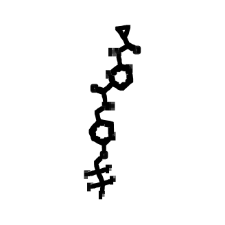 O=C(NCc1ccc(OCC(F)(F)C(F)(F)F)nc1)c1ccnc(NC(=O)C2CC2)n1